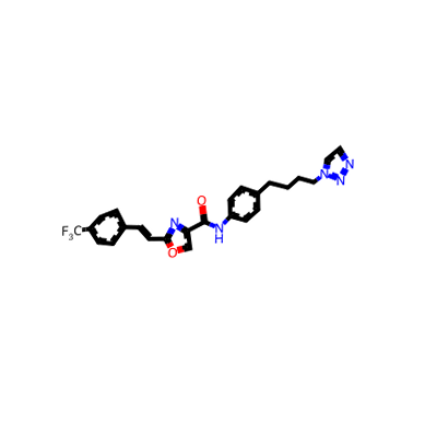 O=C(Nc1ccc(CCCCn2ccnn2)cc1)c1coc(C=Cc2ccc(C(F)(F)F)cc2)n1